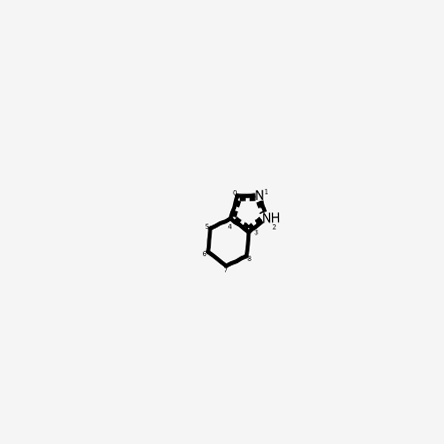 c1n[nH]c2c1CCCC2